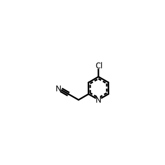 N#CCc1cc(Cl)ccn1